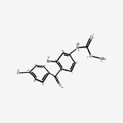 CC(C)(C)OC(=O)Nc1ccc(C(=O)c2ccc(Cl)cc2)c(Br)c1